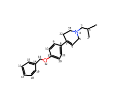 C[C](C)CN1CC=C(c2ccc(OCc3ccccc3)cc2)CC1